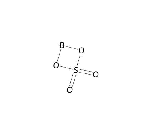 O=S1(=O)O[B]O1